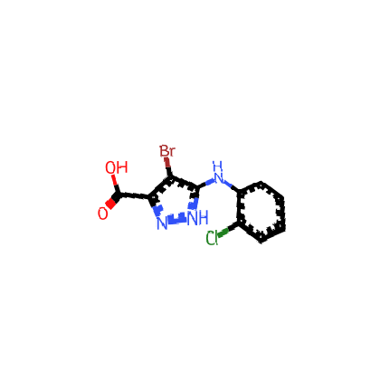 O=C(O)c1n[nH]c(Nc2ccccc2Cl)c1Br